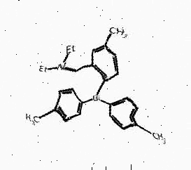 CCN(CC)Cc1cc(C)cc[c]1[Bi]([c]1ccc(C)cc1)[c]1ccc(C)cc1